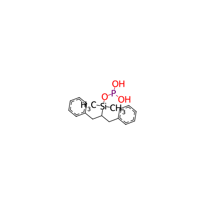 C[Si](C)(OP(O)O)C(Cc1ccccc1)Cc1ccccc1